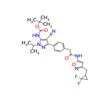 CC(C)n1nc(-c2ccc(CC(=O)Nc3cc(CC4CC4(F)F)no3)cc2)c(C#N)c1NC(=O)OC(C)(C)C